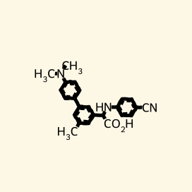 Cc1cc(-c2ccc(N(C)C)cc2)cc(C(Nc2ccc(C#N)cc2)C(=O)O)c1